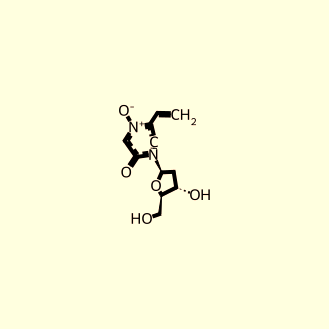 C=Cc1cn([C@H]2C[C@H](O)[C@@H](CO)O2)c(=O)c[n+]1[O-]